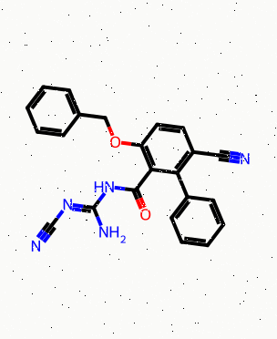 N#C/N=C(\N)NC(=O)c1c(OCc2ccccc2)ccc(C#N)c1-c1ccccc1